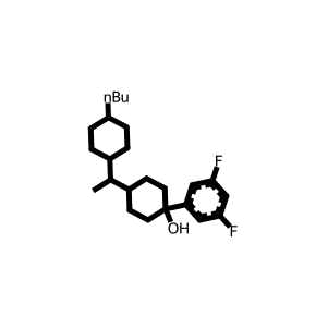 CCCCC1CCC(C(C)C2CCC(O)(c3cc(F)cc(F)c3)CC2)CC1